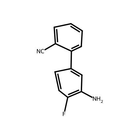 N#Cc1ccccc1-c1ccc(F)c(N)c1